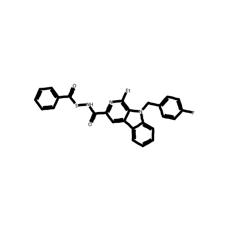 CCc1nc(C(=O)NSC(=O)c2ccccc2)cc2c3ccccc3n(Cc3ccc(F)cc3)c12